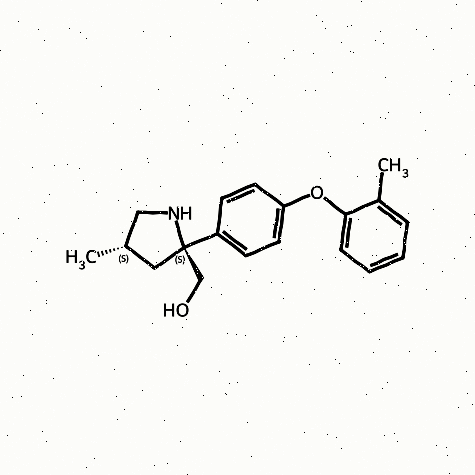 Cc1ccccc1Oc1ccc([C@]2(CO)C[C@H](C)CN2)cc1